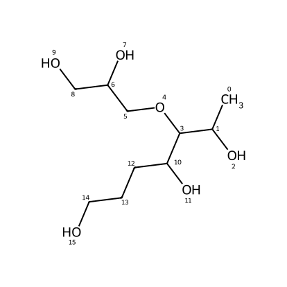 CC(O)C(OCC(O)CO)C(O)CCCO